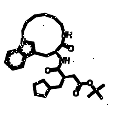 CC(C)(C)OC(=O)C[C@@H](CC1CCCC1)C(=O)N[C@H]1Cc2cn(c3ccccc23)CCCCCCNC1=O